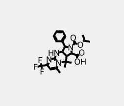 Cc1cc(C(F)(F)F)nc(NC2C(c3ccccc3)N(C(=O)OC(C)C)C(C(=O)O)C2C(C)(C)C)n1